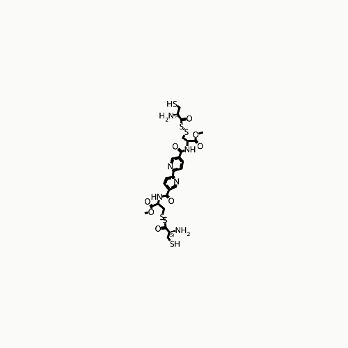 COC(=O)C(CSSC(=O)[C@@H](N)CS)NC(=O)c1ccc(-c2ccc(C(=O)NC(CSSC(=O)[C@@H](N)CS)C(=O)OC)cn2)nc1